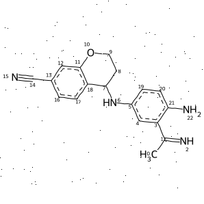 CC(=N)c1cc(NC2CCOc3cc(C#N)ccc32)ccc1N